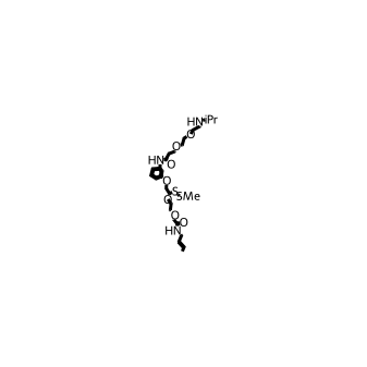 C/C=C/CNC(=O)COCCOC(COc1cccc(NC(=O)CCOCCOCCNC(C)C)c1)SSC